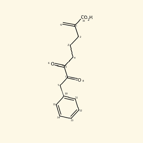 C=C(CCCC(=O)C(=O)Cc1ccccc1)C(=O)O